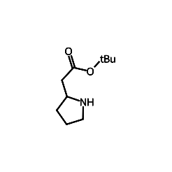 CC(C)(C)OC(=O)CC1CCCN1